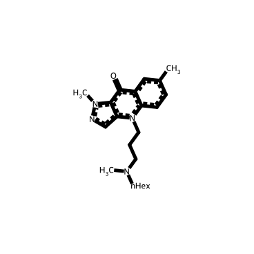 CCCCCCN(C)CCCn1c2ccc(C)cc2c(=O)c2c1cnn2C